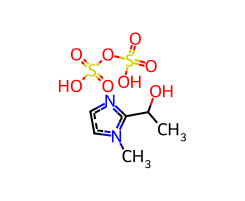 CC(O)c1nccn1C.O=S(=O)(O)OS(=O)(=O)O